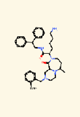 COc1ccccc1CN1CCN2C(C)CCN([C@H](CCCCN)C(=O)NCC(c3ccccc3)c3ccccc3)C(=O)C2C1